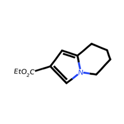 CCOC(=O)c1cc2n(c1)CCCC2